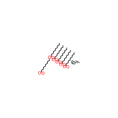 CCCCCCCCCC(=O)[O-].CCCCCCCCCC(=O)[O-].CCCCCCCCCC(=O)[O-].CCCCCCCCCC(=O)[O-].CCCCCCCCCC(=O)[O-].CCCCCCCCCC(=O)[O-].[Cr+3].[Cr+3]